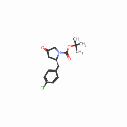 CC(C)(C)OC(=O)N1CC(=O)C[C@@H]1Cc1ccc(Cl)cc1